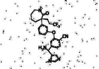 CN1CCCC[C@@](CCC(F)(F)F)(c2cccc(Oc3cc([C@](C)(N)c4cncn4C)ccc3C#N)c2)C1=O